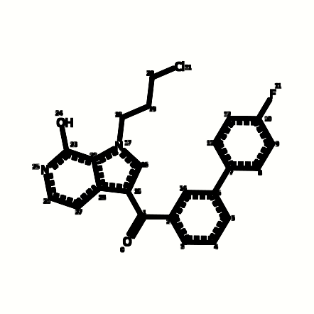 O=C(c1cccc(-c2ccc(F)cc2)c1)c1cn(CCCCl)c2c(O)nccc12